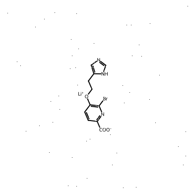 O=C([O-])c1ccc(OCCc2cnc[nH]2)c(Br)n1.[Li+]